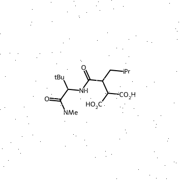 CNC(=O)C(NC(=O)C(CC(C)C)C(C(=O)O)C(=O)O)C(C)(C)C